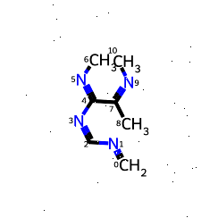 C=N\C=N/C(=N/C)C(/C)=N\C